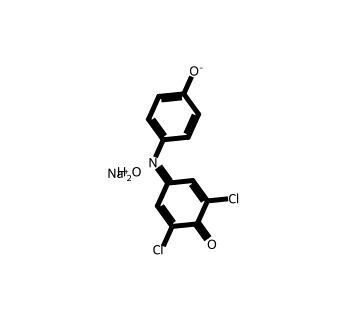 O.O=C1C(Cl)=CC(=Nc2ccc([O-])cc2)C=C1Cl.[Na+]